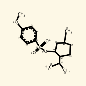 COc1ccc(S(=O)(=O)OC2CC(C)CCC2C(C)C)cc1